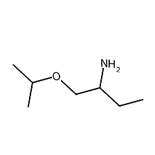 CCC(N)COC(C)C